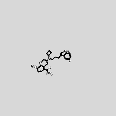 NC(=O)c1ccc(O)c2c1CC(N(CCCc1c[nH]c3ccc(F)cc13)C1CCC1)CO2